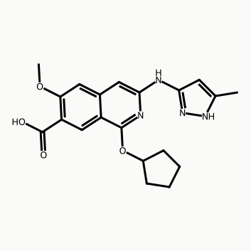 COc1cc2cc(Nc3cc(C)[nH]n3)nc(OC3CCCC3)c2cc1C(=O)O